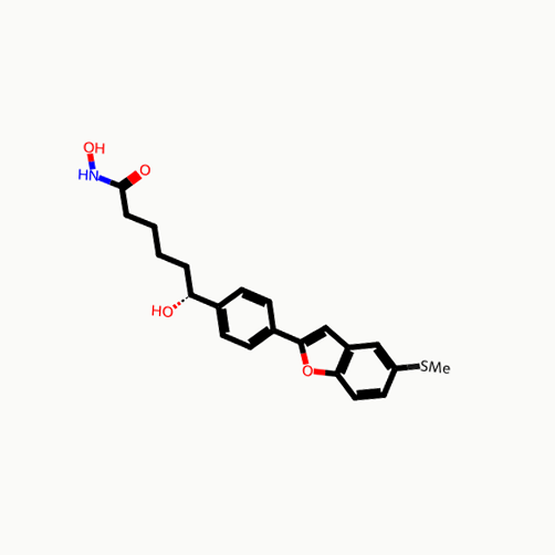 CSc1ccc2oc(-c3ccc([C@H](O)CCCCC(=O)NO)cc3)cc2c1